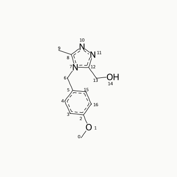 COc1ccc(Cn2c(C)nnc2CO)cc1